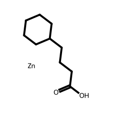 O=C(O)CCCC1CCCCC1.[Zn]